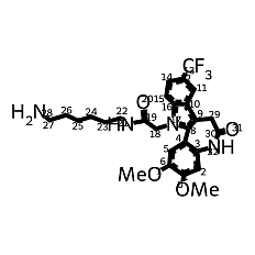 COc1cc2c(cc1OC)-c1c(c3cc(C(F)(F)F)ccc3n1CC(=O)NCCCCCCN)CC(=O)N2